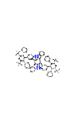 CC(C)(C)c1cc(C(C)(C)C)c(-c2ccccc2)c(-c2ccc3c(c2)c2c4c5ccccc5n5c6ccc(-c7c(-c8ccccc8)c(C(C)(C)C)cc(C(C)(C)C)c7-c7ccccc7)cc6c(c6c7ccccc7n3c62)c45)c1-c1ccccc1